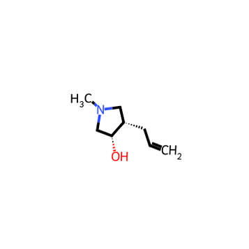 C=CC[C@H]1CN(C)C[C@H]1O